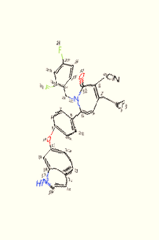 N#Cc1c(C(F)(F)F)cc(-c2ccc(Oc3ccc4cc[nH]c4c3)cc2)n(Cc2ccc(F)cc2F)c1=O